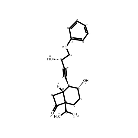 CC(C)[C@]12CC[C@@H](O)[C@H](C#C[C@H](O)COc3ccccc3)[C@H]1CC2=O